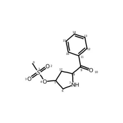 CS(=O)(=O)OC1CNC(C(=O)c2ccccc2)C1